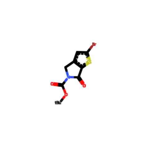 CC(C)(C)OC(=O)N1Cc2cc(Br)sc2C1=O